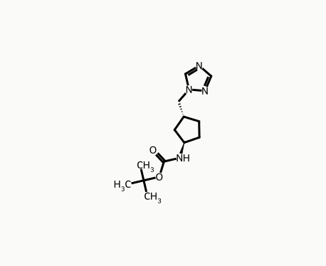 CC(C)(C)OC(=O)N[C@@H]1CC[C@@H](Cn2cncn2)C1